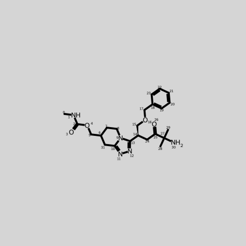 CNC(=O)OCC1CCn2c(nnc2[C@@H](COCc2ccccc2)CC(=O)C(C)(C)N)C1